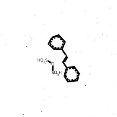 C(=Cc1ccccc1)c1ccccc1.O=S(=O)(O)OS(=O)(=O)O